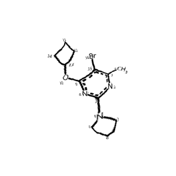 Cc1nc(N2CCC2)nc(OC2CCC2)c1Br